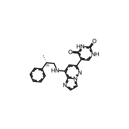 C[C@H](CNc1cc(-c2c[nH]c(=O)[nH]c2=O)nn2ccnc12)c1ccccc1